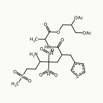 CC(=O)OCC(COC(=O)C(C)NC(=O)C(Cc1ccsc1)CC(C(N)CCS(C)(=O)=O)([SH](=O)=O)[SH](=O)=O)OC(C)=O